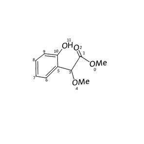 COC(=O)C(OC)c1ccccc1O